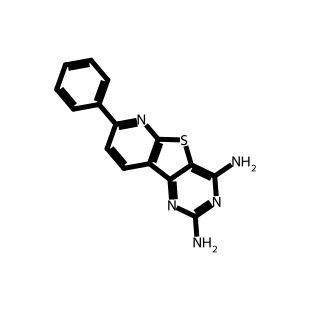 Nc1nc(N)c2sc3nc(-c4ccccc4)ccc3c2n1